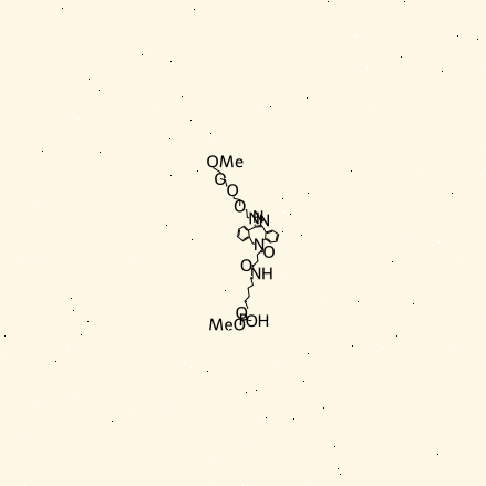 COCCOCCOCCOCCn1nnc2c1-c1ccccc1CN(C(=O)CCC(=O)NCCCCCCOP(O)OC)c1ccccc1-2